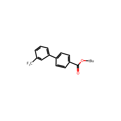 CC(C)(C)OC(=O)c1ccc(-c2cccc(C(F)(F)F)c2)cc1